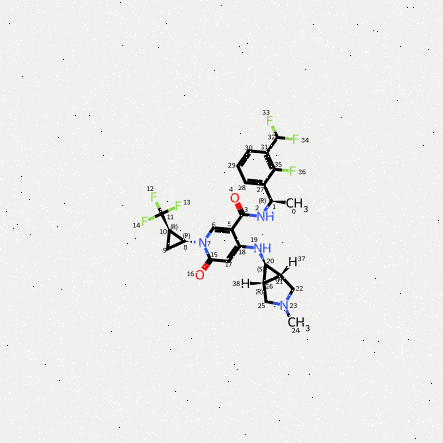 C[C@@H](NC(=O)c1cn([C@@H]2C[C@H]2C(F)(F)F)c(=O)cc1N[C@H]1[C@@H]2CN(C)C[C@@H]21)c1cccc(C(F)F)c1F